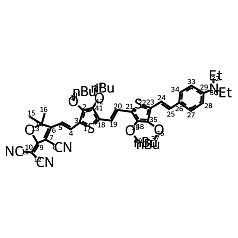 CCCCOc1c(/C=C/C2=C(C#N)C(=C(C#N)C#N)OC2(C)C)sc(/C=C/c2sc(/C=C/c3ccc(N(CC)CC)cc3)c(OCCCC)c2OCCCC)c1OCCCC